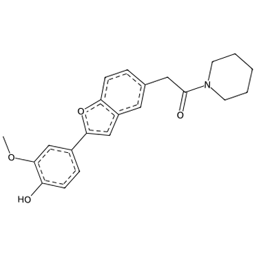 COc1cc(-c2cc3cc(CC(=O)N4CCCCC4)ccc3o2)ccc1O